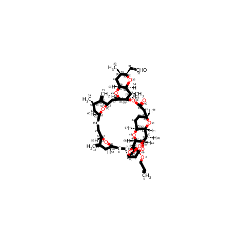 C=CCO[C@@]12C[C@]34CC[C@H]5CC(=C)[C@H](CC[C@H]6C[C@@H](C)C(=C)[C@@H](C[C@@H]7O[C@H]8C[C@@H](C)[C@@H](CC=O)O[C@H]8[C@H](C)[C@H]7OC(=O)C[C@H]7CC[C@@H]8O[C@H]([C@@H](O1)[C@@H](O3)[C@H]8O7)[C@H]2O4)O6)O5